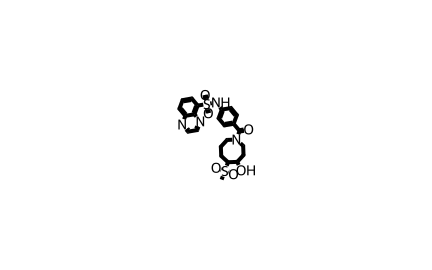 CS(=O)(=O)C1CCCN(C(=O)c2ccc(NS(=O)(=O)c3cccc4nccnc34)cc2)CCC1O